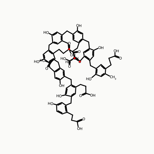 Cc1cc(O)c(Cc2cc(O)c(Cc3cc(O)c(Cc4cc(O)c(Cc5cc(O)c(Cc6cc(O)c(Cc7cc(O)c(Cc8cc(O)ccc8CCC(=O)O)cc7CCC(=O)O)cc6CCC(=O)O)cc5CCC(=O)O)cc4CCC(=O)O)cc3CCC(=O)O)cc2CCC(=O)O)cc1CCC(=O)O